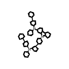 c1ccc(-c2ccc(N(c3ccccc3)c3cccc(-c4ccc(-n5c6ccccc6c6ccc(N(c7ccccc7)c7ccc(-c8ccccc8)cc7)cc65)cc4)c3)cc2)cc1